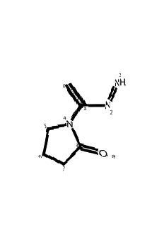 C=C(N=N)N1CCCC1=O